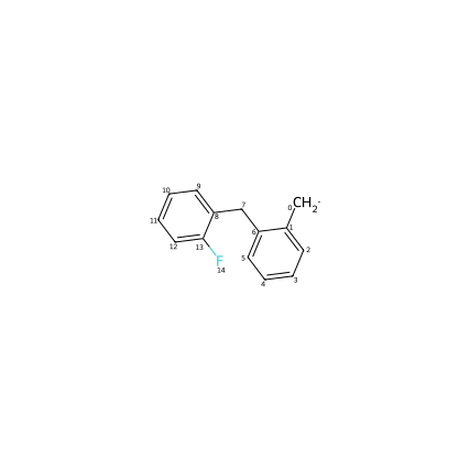 [CH2]c1ccccc1Cc1ccccc1F